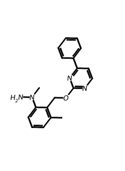 Cc1cccc(N(C)N)c1COc1nccc(-c2ccccc2)n1